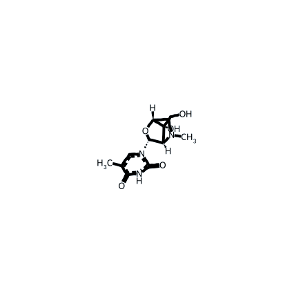 Cc1cn([C@@H]2O[C@@H]3CN(C)[C@@H]2[C@]3(O)CO)c(=O)[nH]c1=O